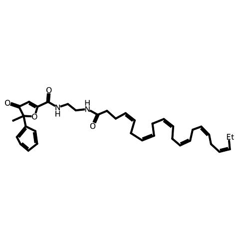 CC/C=C\C/C=C\C/C=C\C/C=C\C/C=C\C/C=C\CCC(=O)NCCNC(=O)C1=CC(=O)C(C)(c2ccccc2)O1